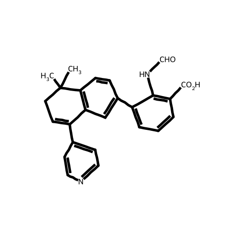 CC1(C)CC=C(c2ccncc2)c2cc(-c3cccc(C(=O)O)c3NC=O)ccc21